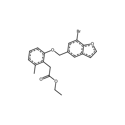 CCOC(=O)Cc1c(C)cccc1OCc1cc(Br)c2occc2c1